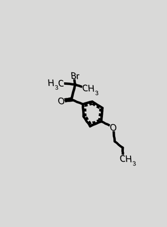 CCCOc1ccc(C(=O)C(C)(C)Br)cc1